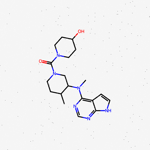 CC1CCN(C(=O)N2CCC(O)CC2)CC1N(C)c1ncnc2[nH]ccc12